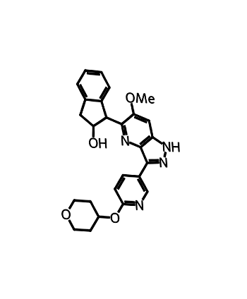 COc1cc2[nH]nc(-c3ccc(OC4CCOCC4)nc3)c2nc1C1c2ccccc2CC1O